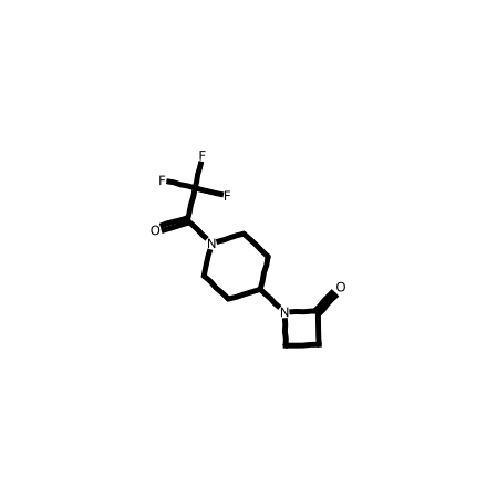 O=C1CCN1C1CCN(C(=O)C(F)(F)F)CC1